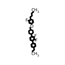 CCCCCc1ccc(OCC2CCC(c3ccc(-c4ccc(CCC)cc4)c(F)c3F)CC2)cc1F